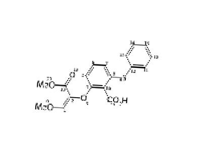 CO/C=C(/Oc1cccc(Sc2ccccc2)c1C(=O)O)C(=O)OC